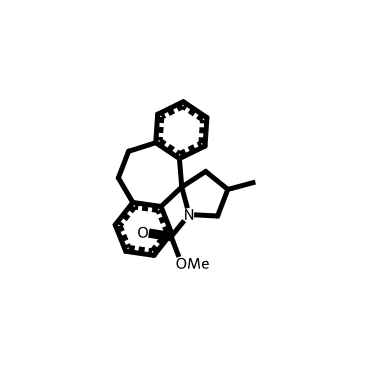 COC(=O)N1CC(C)CC12c1ccccc1CCc1ccccc12